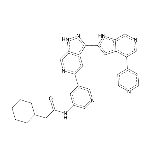 O=C(CC1CCCCC1)Nc1cncc(-c2cc3c(-c4cc5c(-c6ccncc6)cncc5[nH]4)n[nH]c3cn2)c1